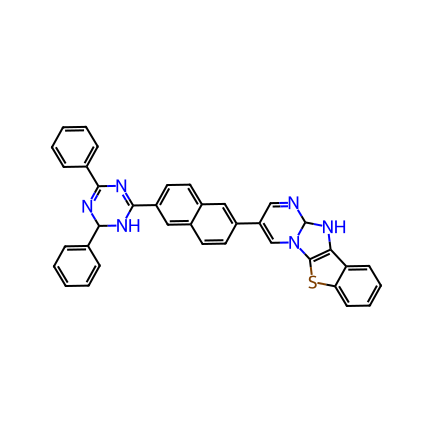 C1=NC2Nc3c(sc4ccccc34)N2C=C1c1ccc2cc(C3=NC(c4ccccc4)=NC(c4ccccc4)N3)ccc2c1